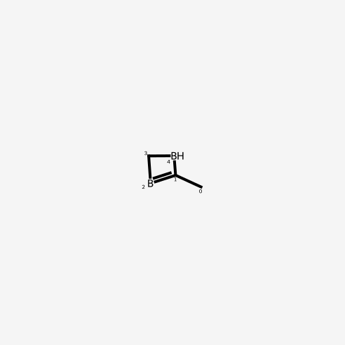 CC1=BCB1